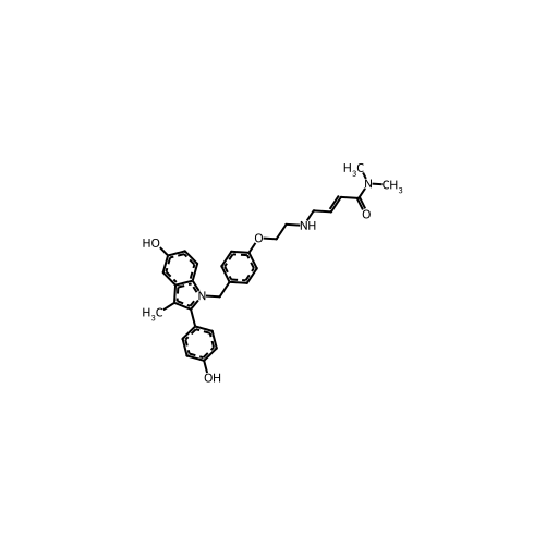 Cc1c(-c2ccc(O)cc2)n(Cc2ccc(OCCNC/C=C/C(=O)N(C)C)cc2)c2ccc(O)cc12